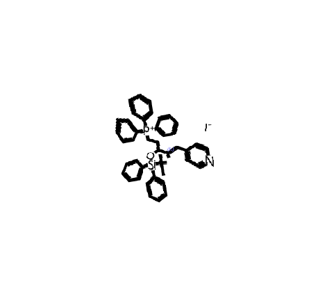 C/C(=C\c1ccncc1)C(CC[P+](c1ccccc1)(c1ccccc1)c1ccccc1)O[Si](c1ccccc1)(c1ccccc1)C(C)(C)C.[I-]